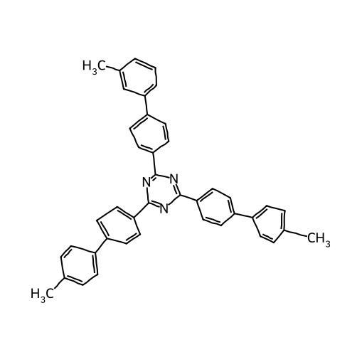 Cc1ccc(-c2ccc(-c3nc(-c4ccc(-c5ccc(C)cc5)cc4)nc(-c4ccc(-c5cccc(C)c5)cc4)n3)cc2)cc1